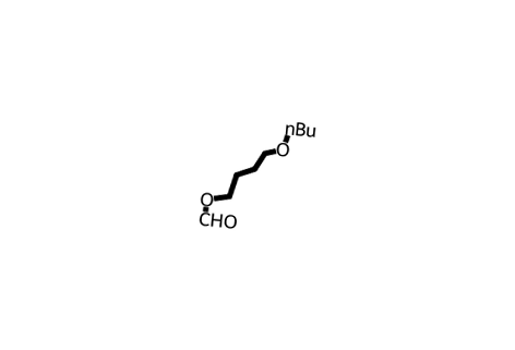 CCCCOCCCCOC=O